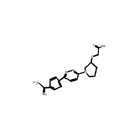 N=C(N)c1ccc(-c2ccc(N3CCCC(OCC(=O)O)C3)nn2)cc1